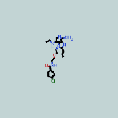 CCCc1nc2c(N)ncc(NCC)c2n1CCOCCNC(=O)c1ccc(Cl)cc1